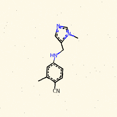 Cc1cc(NCc2cncn2C)ccc1C#N